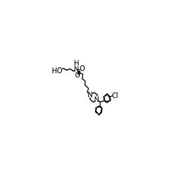 O=S(=O)(CCCCCCN1CCN(C(c2ccccc2)c2ccc(Cl)cc2)CC1)NCCCCO